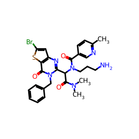 Cc1ccc(C(=O)N(CCCN)C(C(=O)N(C)C)c2nc3cc(Br)sc3c(=O)n2Cc2ccccc2)cn1